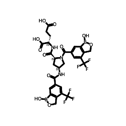 O=C(O)CC[C@H](NC(=O)[C@@H]1C[C@H](NC(=O)c2cc3c(c(C(F)(F)F)c2)COB3O)CN1C(=O)c1cc2c(c(C(F)(F)F)c1)COB2O)C(=O)O